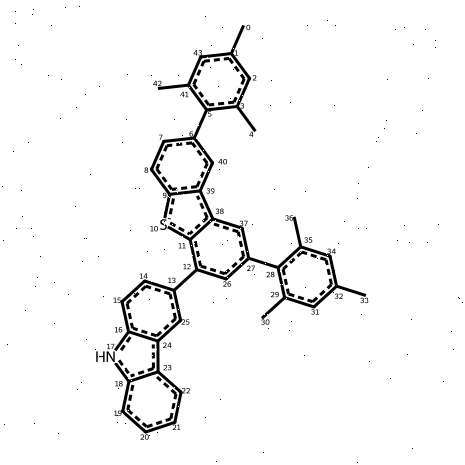 Cc1cc(C)c(-c2ccc3sc4c(-c5ccc6[nH]c7ccccc7c6c5)cc(-c5c(C)cc(C)cc5C)cc4c3c2)c(C)c1